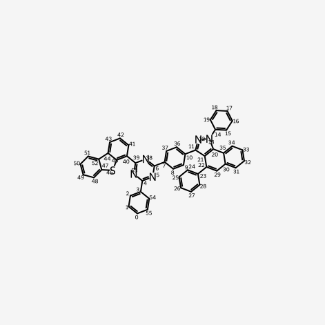 c1ccc(-c2nc(-c3ccc(-c4nn(-c5ccccc5)c5c4c(-c4ccccc4)cc4ccccc45)cc3)nc(-c3cccc4c3sc3ccccc34)n2)cc1